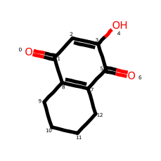 O=C1C=C(O)C(=O)C2=C1CCCC2